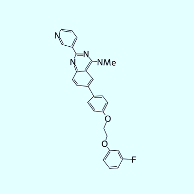 CNc1nc(-c2cccnc2)nc2ccc(-c3ccc(OCCOc4cccc(F)c4)cc3)cc12